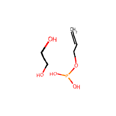 C=CCOP(O)O.OCCO